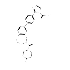 CC(C)COC(=O)n1ccnc1-c1ccc(-c2ccc3c(c2)CN(C(=O)N2CCC(C#N)CC2)CCO3)cc1